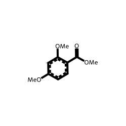 COC(=O)c1ccc(OC)[c]c1OC